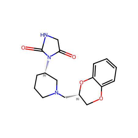 O=C1CNC(=O)N1[C@H]1CCCN(C[C@H]2COc3ccccc3O2)C1